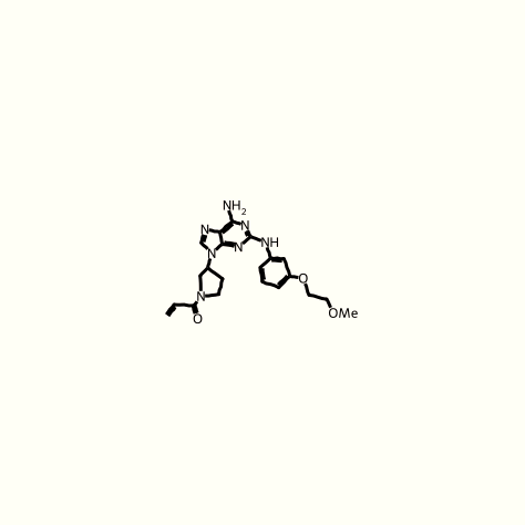 C=CC(=O)N1CCC(n2cnc3c(N)nc(Nc4cccc(OCCOC)c4)nc32)C1